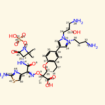 CC1(C)[C@H](NC(=O)/C(=N\O[C@](C)(C(=O)O)[C@H]2CCc3cc(-c4cn(C[C@@H](O)CN)[n+](CCCN)c4)ccc3O2)c2csc(N)n2)C(=O)N1OS(=O)(=O)O